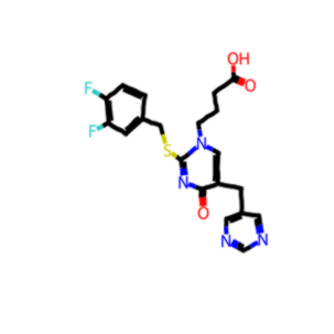 O=C(O)CCCn1cc(Cc2cncnc2)c(=O)nc1SCc1ccc(F)c(F)c1